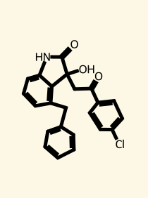 O=C(CC1(O)C(=O)Nc2cccc(Cc3ccccc3)c21)c1ccc(Cl)cc1